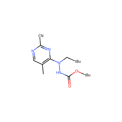 Cc1cnc(C#N)nc1N(CC(C)(C)C)NC(=O)OC(C)(C)C